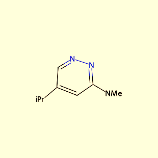 CNc1cc(C(C)C)cnn1